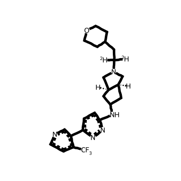 [2H]C([2H])(CC1CCOCC1)N1C[C@H]2CC(Nc3ccc(-c4cnccc4C(F)(F)F)nn3)C[C@H]2C1